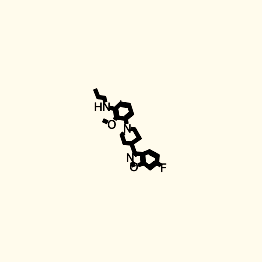 CCCNc1[c]ccc(N2CCC(c3noc4cc(F)ccc34)CC2)c1OC